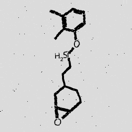 Cc1cccc(O[SiH2]CCC2CCC3OC3C2)c1C